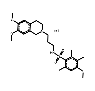 COc1cc2c(cc1OC)CN(CCCNS(=O)(=O)c1c(C)cc(OC)c(C)c1C)CC2.Cl